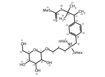 CCCCCC[PH](CCCCCC)(CCCOC1OC(CO)C(O)C(O)C1O)Cc1ccc(C(C)C(C)(C)SC(=S)SC)cc1